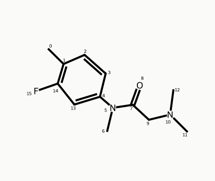 Cc1ccc(N(C)C(=O)CN(C)C)cc1F